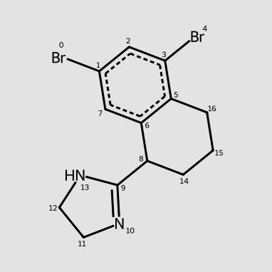 Brc1cc(Br)c2c(c1)C(C1=NCCN1)CCC2